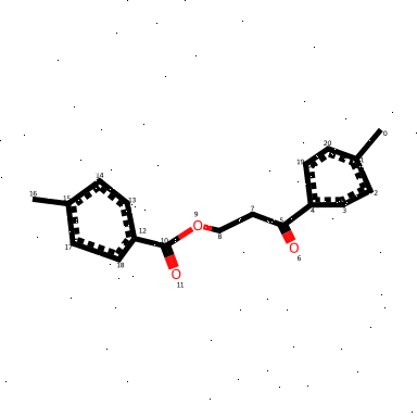 Cc1ccc(C(=O)CCOC(=O)c2ccc(C)cc2)cc1